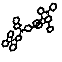 c1ccc(-c2ccc3c4c2-c2ccc(-c5ccc(N(c6ccc7c(c6)C6(c8ccccc8-c8ccccc86)c6ccccc6-7)c6ccc7ccccc7c6)cc5)cc2C4(c2ccccc2)c2ccccc2N3c2ccccc2)cc1